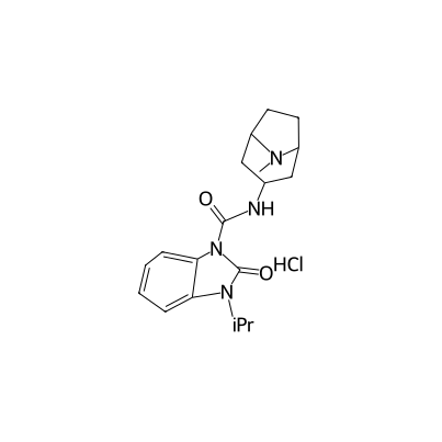 CC(C)n1c(=O)n(C(=O)NC2CC3CCC(C2)N3C)c2ccccc21.Cl